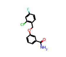 NC(=O)c1cccc(OCc2ccc(F)cc2Cl)c1